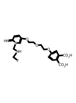 N=c1ccc(OCCOCCOc2ccc(C(=O)O)c(C(=O)O)c2)cn1CNCF